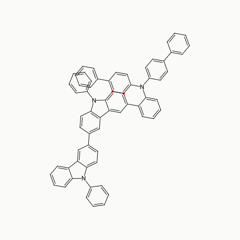 c1ccc(-c2ccc(N(c3ccc(-c4ccccc4)cc3)c3ccccc3-c3ccc4c(c3)c3cc(-c5ccc6c(c5)c5ccccc5n6-c5ccccc5)ccc3n4-c3ccccc3)cc2)cc1